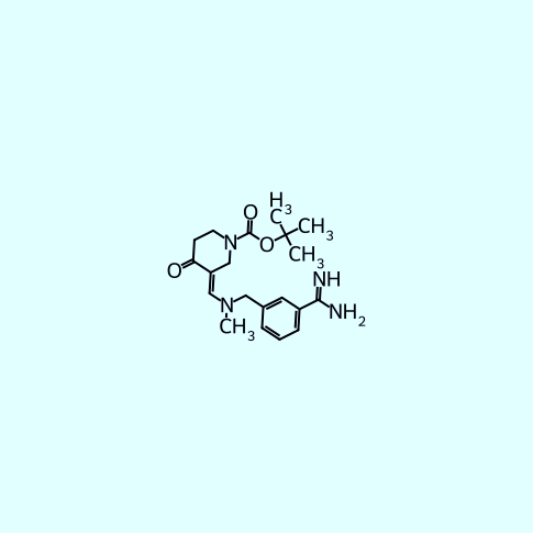 CN(/C=C1\CN(C(=O)OC(C)(C)C)CCC1=O)Cc1cccc(C(=N)N)c1